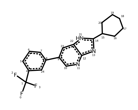 FC(F)(F)c1cccc(-c2cnc3nc(C4CCCCC4)[nH]c3c2)c1